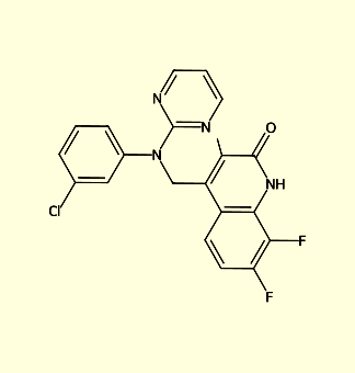 Cc1c(CN(c2cccc(Cl)c2)c2ncccn2)c2ccc(F)c(F)c2[nH]c1=O